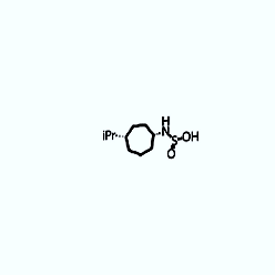 CC(C)[C@H]1CCC[C@@H](NS(=O)O)CC1